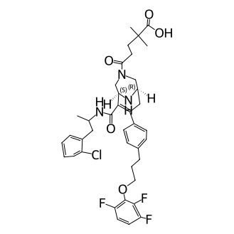 CC(Cc1ccccc1Cl)NC(=O)C1=C(c2ccc(CCCOc3c(F)ccc(F)c3F)cc2)C[C@@H]2CN(C(=O)CCC(C)(C)C(=O)O)C[C@H]1N2